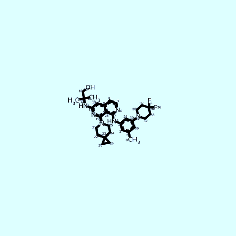 Cc1cc(Nc2nccc3cc(NC(C)(C)CO)nc(N4CCC5(CC4)CC5)c23)cc(N2CCC(F)(F)CC2)c1